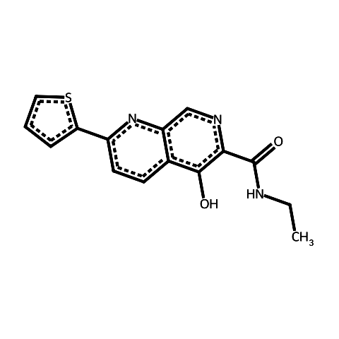 CCNC(=O)c1ncc2nc(-c3cccs3)ccc2c1O